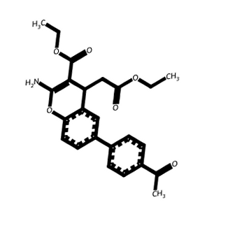 CCOC(=O)CC1C(C(=O)OCC)=C(N)Oc2ccc(-c3ccc(C(C)=O)cc3)cc21